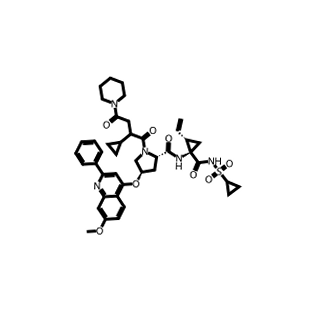 C=C[C@@H]1C[C@]1(NC(=O)[C@@H]1C[C@@H](Oc2cc(-c3ccccc3)nc3cc(OC)ccc23)CN1C(=O)C(CC(=O)N1CCCCC1)C1CC1)C(=O)NS(=O)(=O)C1CC1